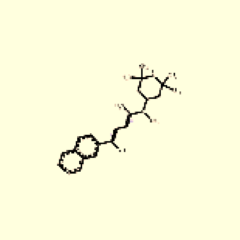 CN(/C(N)=C/C=C(\N)c1ccc2ccncc2c1)C1CC(C)(C)NC(C)(C)C1